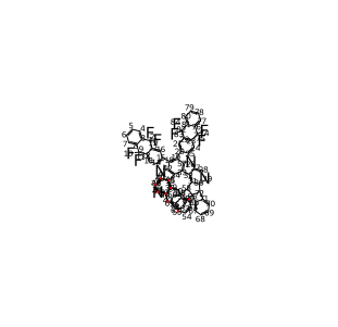 FC1(F)c2ccccc2C(F)(F)c2cc3c(cc21)c1c2c4cc5c(cc4n4c6cnc7c(c6c(c6c8c9c(ncc8n3c16)C1c3ccccc3C9c3ccccc31)c24)C1c2ccccc2C12c1ccccc1C72)C(F)(F)c1ccccc1C5(F)F